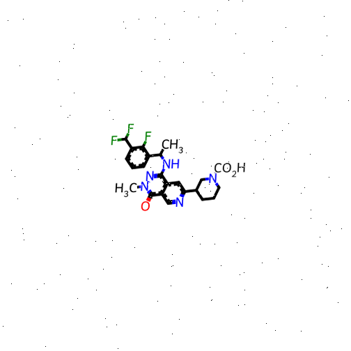 CC(Nc1nn(C)c(=O)c2cnc(C3CCCN(C(=O)O)C3)cc12)c1cccc(C(F)F)c1F